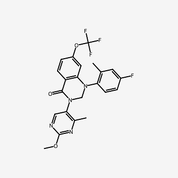 COc1ncc(N2CN(c3ccc(F)cc3C)c3cc(OC(F)(F)F)ccc3C2=O)c(C)n1